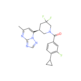 Cc1cc([C@@H]2CN(C(=O)c3ccc(C4CC4)c(F)c3)CC(F)(F)C2)n2ncnc2n1